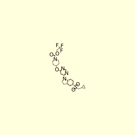 O=C(OCC(F)(F)F)N1CCC(Oc2cc(N3CCc4cc(S(=O)(=O)CC5CC5)ccc43)ncn2)CC1